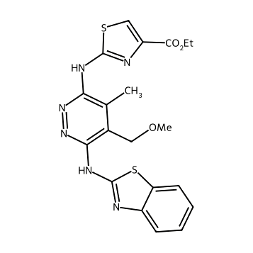 CCOC(=O)c1csc(Nc2nnc(Nc3nc4ccccc4s3)c(COC)c2C)n1